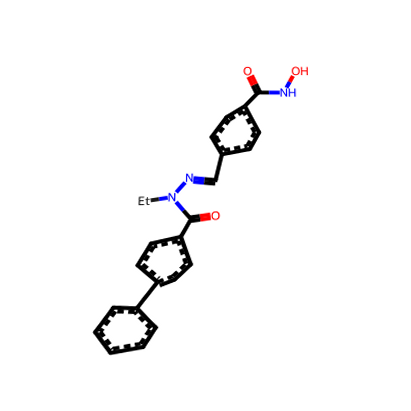 CCN(N=Cc1ccc(C(=O)NO)cc1)C(=O)c1ccc(-c2ccccc2)cc1